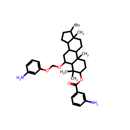 CC(C)(C)C1CCC2C3CC(OCOc4cccc(N)c4)C4C(C)(C)C(OC(=O)c5cccc(N)c5)CCC4(C)C3CCC21C